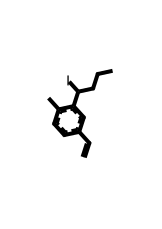 C=Cc1ccc(C)c(C(I)CCC)c1